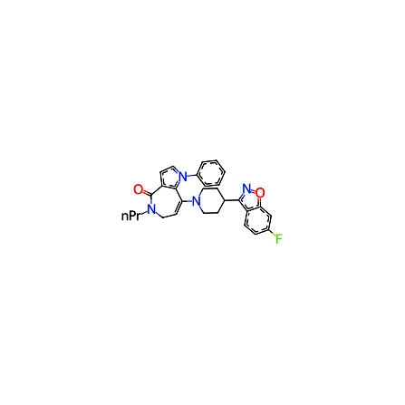 CCCN1CC=C(N2CCC(c3noc4cc(F)ccc34)CC2)c2c(ccn2-c2ccccc2)C1=O